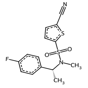 C[C@H](c1ccc(F)cc1)N(C)S(=O)(=O)c1ccc(C#N)s1